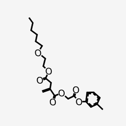 C=C(CC(=O)OCCOCCCCCC)C(=O)OCC(=O)Oc1cccc(C)c1